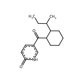 CCC(C)C1CCCCC1C(=O)c1ccc(=O)[nH]c1